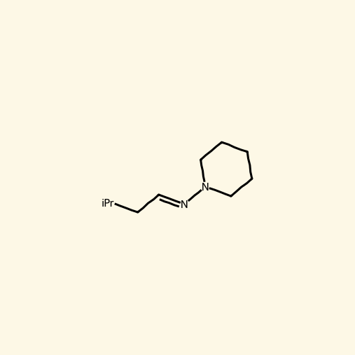 CC(C)C/C=N/N1CCCCC1